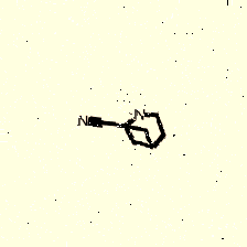 N#CC12CC(CC[N]1)C2